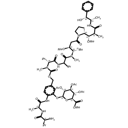 CC[C@@H](C)[C@H]([C@H](CC(=O)N1CCC[C@@H]1[C@@H](OC)[C@H](C)C(=O)N[C@@H](C)[C@H](O)c1ccccc1)OC)N(C)C(=O)C(NC(=O)[C@@H](C(C)C)N(C)C(=O)OCc1ccc(NC(=O)[C@H](C)NC(=O)[C@@H](N)C(C)C)c(O[C@@H]2O[C@H](C(=O)OC)[C@@H](OC(C)=O)[C@H](OC(C)=O)[C@H]2OC(C)=O)c1)C(C)C